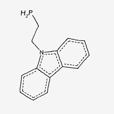 PCCn1c2ccccc2c2ccccc21